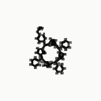 CC(C)Cc1ccc(-c2c3nc(c(-c4ccccc4)c4ccc([nH]4)c(-c4ccccc4)c4nc(c(-c5ccccc5)c5[nH]c2CC5)C=C4)C=C3)cc1